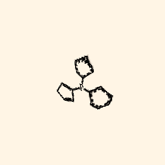 C1=CC(P(c2ccccc2)c2ccccc2)=CC1